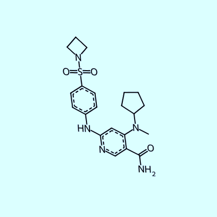 CN(c1cc(Nc2ccc(S(=O)(=O)N3CCC3)cc2)ncc1C(N)=O)C1CCCC1